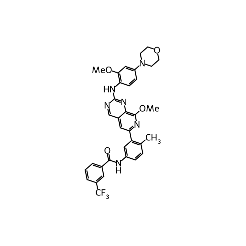 COc1cc(N2CCOCC2)ccc1Nc1ncc2cc(-c3cc(NC(=O)c4cccc(C(F)(F)F)c4)ccc3C)nc(OC)c2n1